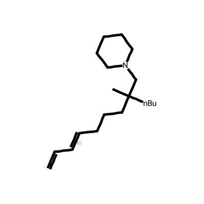 C=C/C=C/CCCC(C)(CCCC)CN1CCCCC1